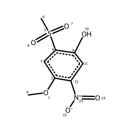 COc1cc(S(C)(=O)=O)c(O)cc1[N+](=O)[O-]